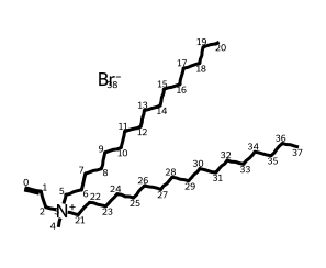 C=CC[N+](C)(CCCCCCCCCCCCCCCC)CCCCCCCCCCCCCCCCC.[Br-]